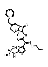 CCCON=C(C(=O)NC1C(=O)N2C=C(C[n+]3ccccc3)CS[C@@H]12)c1nsc(NP(=O)(O)O)n1